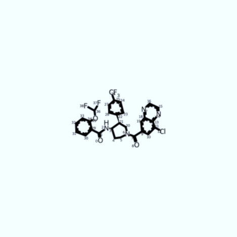 O=C(N[C@H]1CCN(C(=O)c2cc(Cl)c3nccnc3c2)C[C@@H]1c1ccc(C(F)(F)F)cc1)c1ccccc1OC(F)F